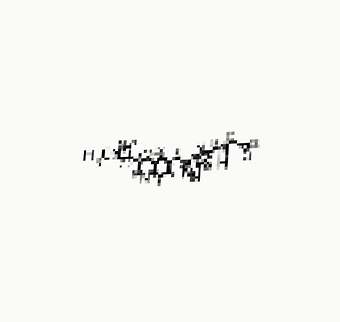 Cn1cc(-c2cnc3ccc(Cc4nnc5sc(CNCC6CC6)nn45)cc3c2)cn1